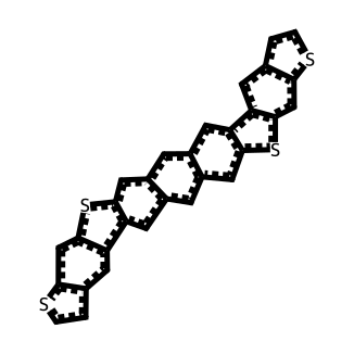 c1cc2cc3c(cc2s1)sc1cc2cc4cc5c(cc4cc2cc13)sc1cc2sccc2cc15